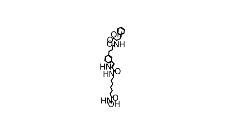 O=C(CCCCCCNC(=O)c1cc2cc(CCC(=O)NC(Cc3ccccc3)C(=O)O)ccc2[nH]1)NO